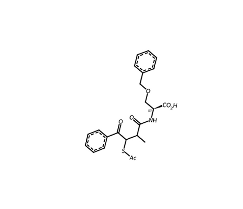 CC(=O)SC(C(=O)c1ccccc1)C(C)C(=O)N[C@@H](COCc1ccccc1)C(=O)O